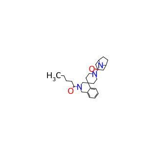 CCCCC(=O)N1Cc2ccccc2C2(CCN(C3CC4CCC(C3)N4C=O)CC2)C1